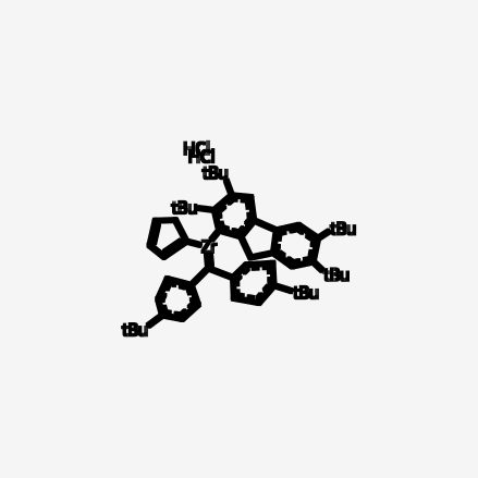 CC(C)(C)c1ccc([C](c2ccc(C(C)(C)C)cc2)=[Zr]([C]2=CC=CC2)[c]2c3c(cc(C(C)(C)C)c2C(C)(C)C)-c2cc(C(C)(C)C)c(C(C)(C)C)cc2C3)cc1.Cl.Cl